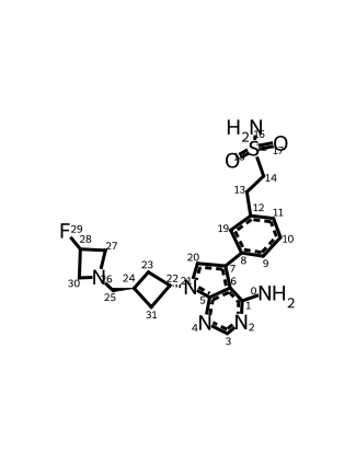 Nc1ncnc2c1c(-c1cccc(CCS(N)(=O)=O)c1)cn2[C@H]1C[C@H](CN2CC(F)C2)C1